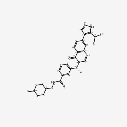 C[C@H](c1cccc(C(=O)NCC2CCN(C)CC2)c1)n1cnc2cc(-c3cn[nH]c3C(F)F)ccc2c1=O